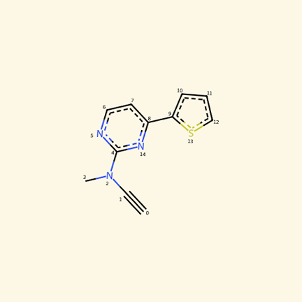 C#CN(C)c1nccc(-c2cccs2)n1